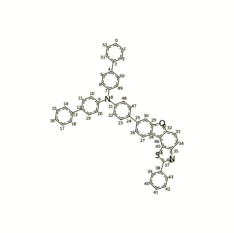 c1ccc(-c2ccc(N(c3ccc(-c4ccccc4)cc3)c3ccc(-c4ccc5c(c4)oc4ccc6nc(-c7ccccc7)sc6c45)cc3)cc2)cc1